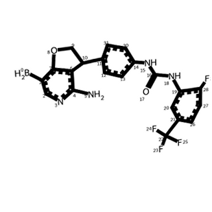 Bc1cnc(N)c2c1OCC2c1ccc(NC(=O)Nc2cc(C(F)(F)F)ccc2F)cc1